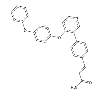 NC(=O)C=Cc1ccc(-c2cnccc2Oc2ccc(Oc3ccccc3)cc2)cc1